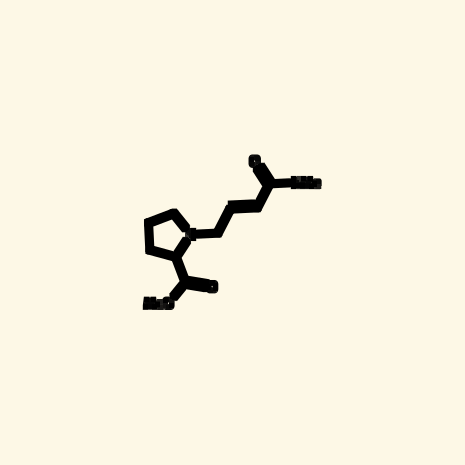 CNC(=O)/C=C/CN1CCCC1C(=O)OC